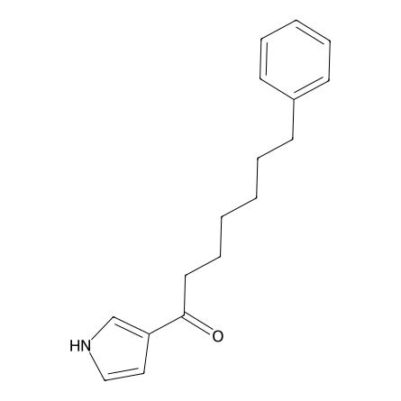 O=C(CCCCCCc1ccccc1)c1cc[nH]c1